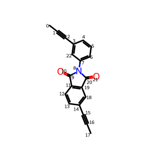 CC#Cc1cccc(N2C(=O)c3ccc(C#CC)cc3C2=O)c1